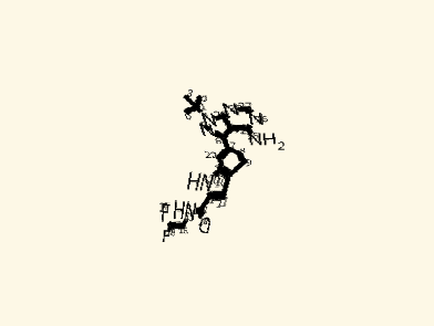 CC(C)(C)n1nc(-c2ccc3cc(C(=O)NCC(F)F)[nH]c3c2)c2c(N)ncnc21